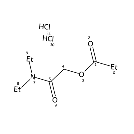 CCC(=O)OCC(=O)N(CC)CC.Cl.Cl